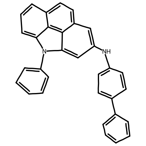 c1ccc(-c2ccc(Nc3cc4ccc5cccc6c5c4c(c3)n6-c3ccccc3)cc2)cc1